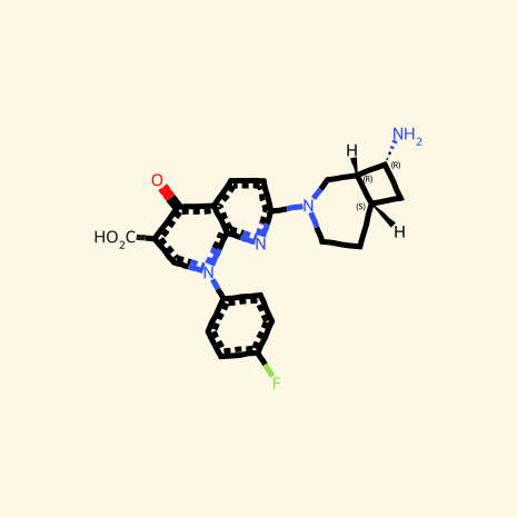 N[C@@H]1C[C@@H]2CCN(c3ccc4c(=O)c(C(=O)O)cn(-c5ccc(F)cc5)c4n3)C[C@@H]21